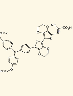 CCCCCCOc1ccc(N(c2ccc(OCCCCCC)cc2)c2ccc(-c3sc(-c4sc(/C=C(\C#N)C(=O)O)c5c4OCCO5)c4c3OCCO4)cc2)cc1